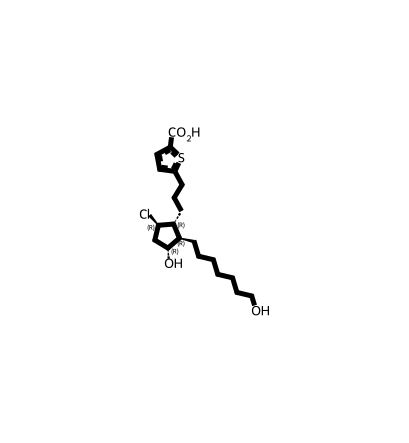 O=C(O)c1ccc(CCC[C@@H]2[C@@H](CCCCCCCO)[C@H](O)C[C@H]2Cl)s1